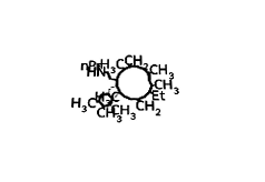 C=C1CC[C@H](C)[C@H](C[C@H]2CC(C)C(C)[C@@H](C)C2)[C@@H](CCNCCC)C[C@@H](C)C(=C)CC/C(C)=C/[C@H](C)[C@@H](CC)C1